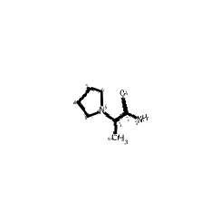 CC(C([NH])=O)N1CCCC1